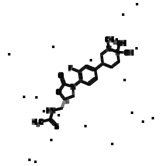 CC(=S)NC[C@H]1CN(c2ccc(C3CCS(O)(O)N(C)C3)cc2F)C(=O)O1